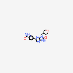 NC(=O)c1ccc(-c2cnc3[nH]c(=O)n(CC4CCOCC4)c3n2)cc1